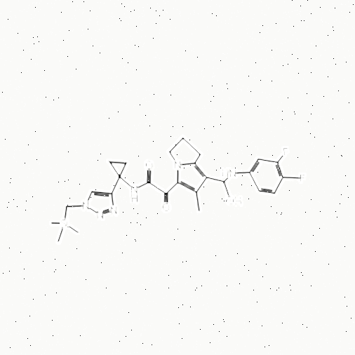 Cc1c(C(O)Nc2ccc(F)c(F)c2)c2n(c1C(=O)C(=O)NC1(c3cn(C[Si](C)(C)C)nn3)CC1)CCC2